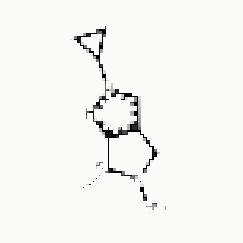 C[C@@H]1c2nn(C3CC3)cc2CN1C(C)(C)C